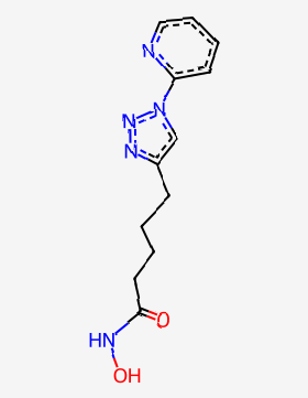 O=C(CCCCc1cn(-c2ccccn2)nn1)NO